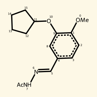 COc1ccc(/C=N/NC(C)=O)cc1OC1CCCC1